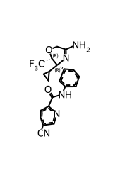 N#Cc1ccc(C(=O)Nc2cccc([C@@]3(C4CC4)N=C(N)CO[C@H]3C(F)(F)F)c2)nc1